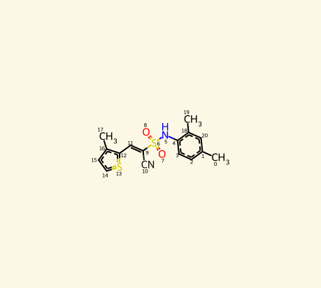 Cc1ccc(NS(=O)(=O)/C(C#N)=C/c2sccc2C)c(C)c1